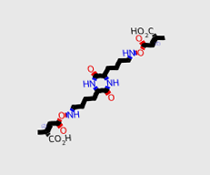 C/C(=C/C(=O)ONCCCCC1NC(=O)C(CCCCNOC(=O)/C=C(/C)C(=O)O)NC1=O)C(=O)O